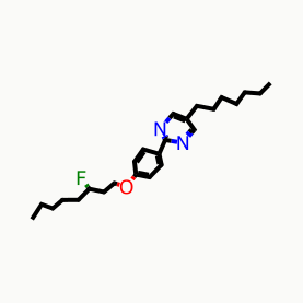 CCCCCCCc1cnc(-c2ccc(OCCC(F)CCCCC)cc2)nc1